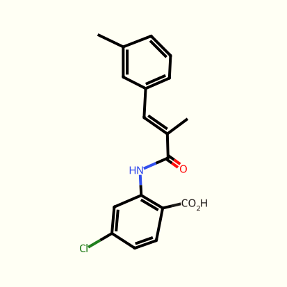 C/C(=C\c1cccc(C)c1)C(=O)Nc1cc(Cl)ccc1C(=O)O